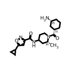 C[C@@H]1CC(NC(=O)c2cc(C3CC3)on2)CCN1C(=O)[C@H]1CCC[C@@H](N)C1